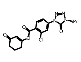 CC(C)n1nnn(-c2ccc(C(=O)OC3=CC(=O)CCC3)c(Cl)c2)c1=O